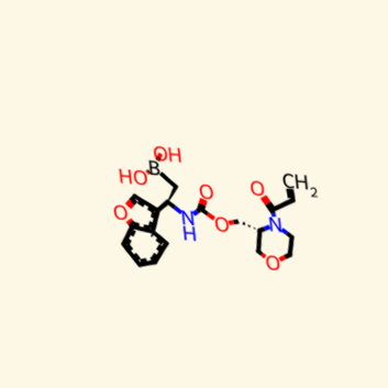 C=CC(=O)N1CCOC[C@@H]1COC(=O)N[C@H](CB(O)O)c1coc2ccccc12